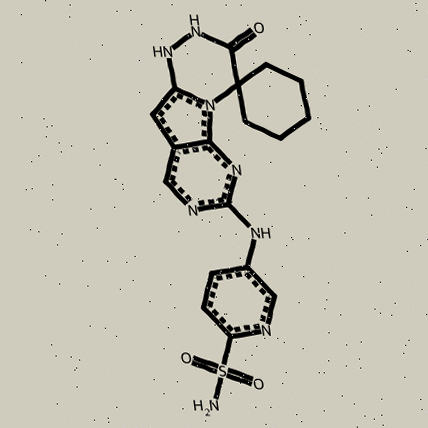 NS(=O)(=O)c1ccc(Nc2ncc3cc4n(c3n2)C2(CCCCC2)C(=O)NN4)cn1